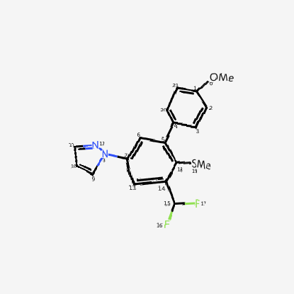 COc1ccc(-c2cc(-n3cccn3)cc(C(F)F)c2SC)cc1